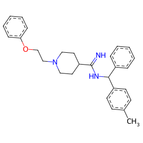 Cc1ccc(C(NC(=N)C2CCN(CCOc3ccccc3)CC2)c2ccccc2)cc1